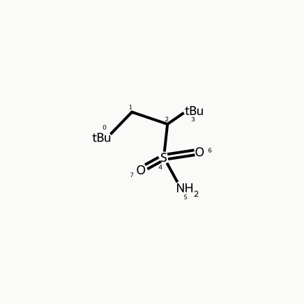 CC(C)(C)CC(C(C)(C)C)S(N)(=O)=O